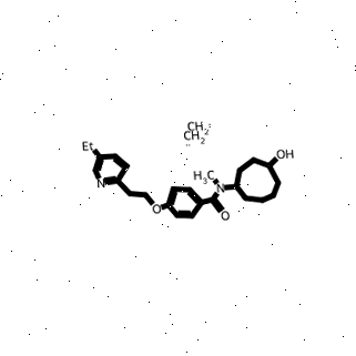 CCc1ccc(CCOc2ccc(C(=O)N(C)C3[CH]CCCC(O)CC3)cc2)nc1.[CH2].[CH2]